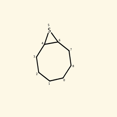 C1CCCC2SC2CC1